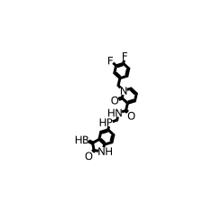 B=C1C(=O)Nc2ccc(PCNC(=O)c3cccn(Cc4ccc(F)c(F)c4)c3=O)cc21